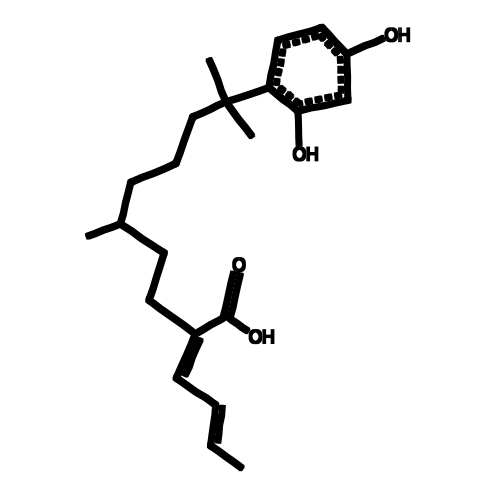 CC=CC=C(CCC(C)CCCC(C)(C)c1ccc(O)cc1O)C(=O)O